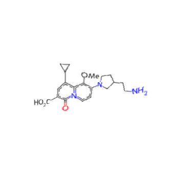 COc1c(N2CCC(CCN)C2)ccn2c(=O)c(C(=O)O)cc(C3CC3)c12